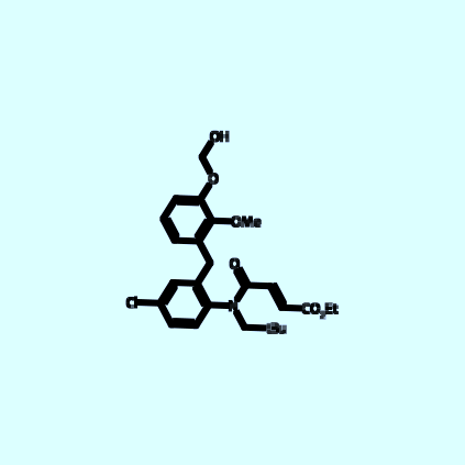 CCOC(=O)/C=C/C(=O)N(CC(C)(C)C)c1ccc(Cl)cc1Cc1cccc(OCO)c1OC